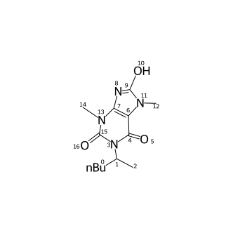 CCCCC(C)n1c(=O)c2c(nc(O)n2C)n(C)c1=O